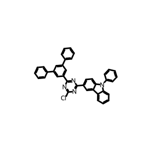 Clc1nc(-c2cc(-c3ccccc3)cc(-c3ccccc3)c2)nc(-c2ccc3c(c2)c2ccccc2n3-c2ccccc2)n1